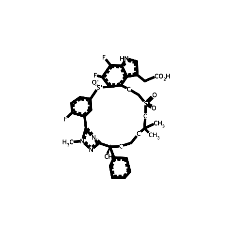 Cn1nc2nc1-c1cc(ccc1F)[S+]([O-])c1c(F)c(F)c3[nH]cc(CC(=O)O)c3c1CCS(=O)(=O)CC(C)(C)CCC[C@]2(C)c1ccccc1